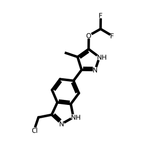 Cc1c(-c2ccc3c(CCl)n[nH]c3c2)n[nH]c1OC(F)F